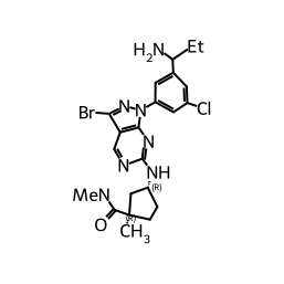 CCC(N)c1cc(Cl)cc(-n2nc(Br)c3cnc(N[C@@H]4CC[C@@](C)(C(=O)NC)C4)nc32)c1